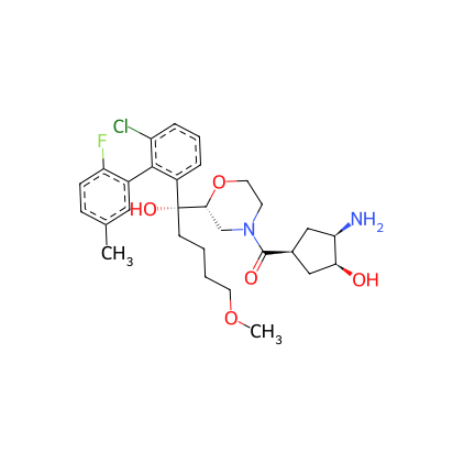 COCCCC[C@@](O)(c1cccc(Cl)c1-c1cc(C)ccc1F)[C@H]1CN(C(=O)[C@H]2C[C@@H](N)[C@@H](O)C2)CCO1